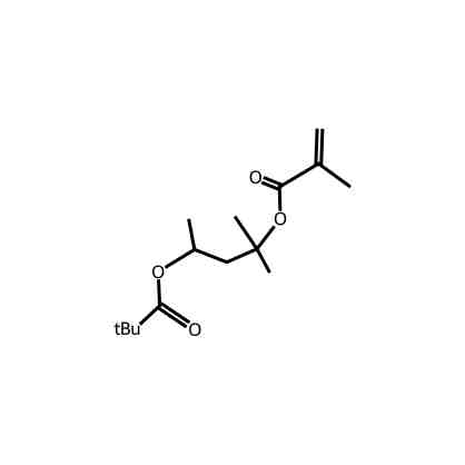 C=C(C)C(=O)OC(C)(C)CC(C)OC(=O)C(C)(C)C